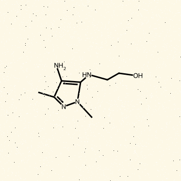 Cc1nn(C)c(NCCO)c1N